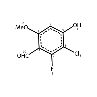 COc1cc(O)c(Cl)c(F)c1C=O